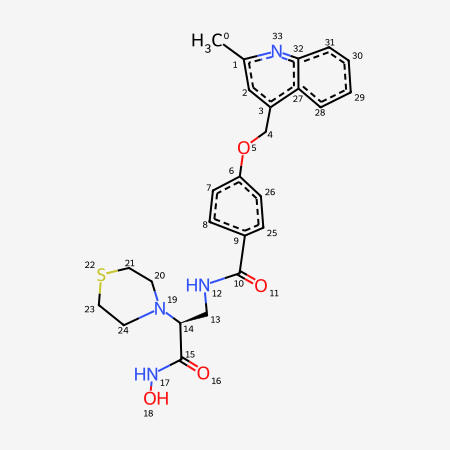 Cc1cc(COc2ccc(C(=O)NC[C@@H](C(=O)NO)N3CCSCC3)cc2)c2ccccc2n1